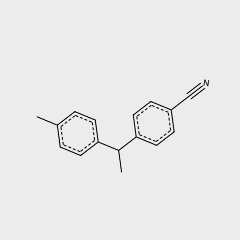 Cc1ccc(C(C)c2ccc(C#N)cc2)cc1